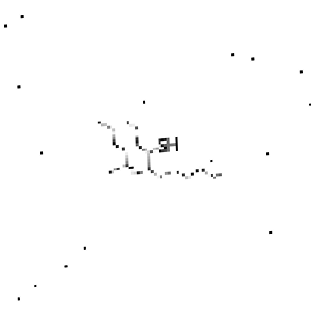 CCCCCCC(CC(C)CCCC)C(S)CCC